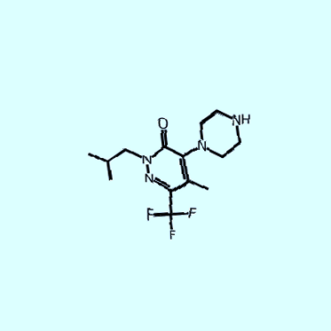 Cc1c(C(F)(F)F)nn(CC(C)C)c(=O)c1N1CCNCC1